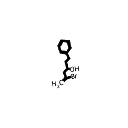 C=C(Br)CC(O)CCc1ccccc1